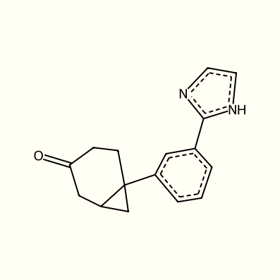 O=C1CCC2(c3cccc(-c4ncc[nH]4)c3)CC2C1